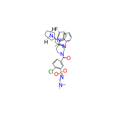 Cc1nc2ccccc2n1[C@H]1C[C@H]2CC[C@@H](C1)N2CCC1(c2cccc(F)c2)CCN(C(=O)c2ccc(Cl)c(S(=O)(=O)/N=C/N(C)C)c2)CC1